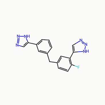 Fc1ccc(Cc2cccc(-c3cnn[nH]3)c2)cc1-c1cnn[nH]1